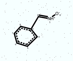 [O-][NH+]=Cc1ccccc1